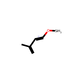 C=C(C)/C=C/O[SiH3]